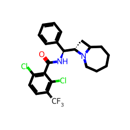 O=C(N[C@@H](c1ccccc1)[C@@H]1CC2CCCCCN21)c1c(Cl)ccc(C(F)(F)F)c1Cl